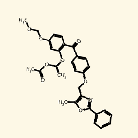 COCOc1ccc(C(=O)c2ccc(OCc3nc(-c4ccccc4)oc3C)cc2)c(OC(C)OC(C)=O)c1